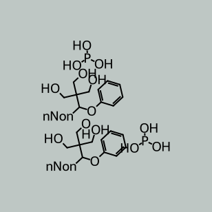 CCCCCCCCCC(Oc1ccccc1)C(CO)(CO)CO.CCCCCCCCCC(Oc1ccccc1)C(CO)(CO)CO.OP(O)O.OP(O)O